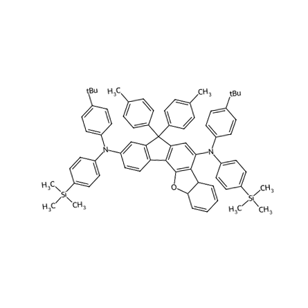 Cc1ccc(C2(c3ccc(C)cc3)c3cc(N(c4ccc(C(C)(C)C)cc4)c4ccc([Si](C)(C)C)cc4)ccc3-c3c2cc(N(c2ccc(C(C)(C)C)cc2)c2ccc([Si](C)(C)C)cc2)c2c3OC3C=CC=CC23)cc1